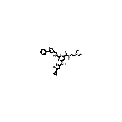 CCN(CC)CCNC(=O)c1cc(Nc2cc(C3CC3)[nH]n2)nc(NCC2CC(c3ccccc3)=NO2)n1